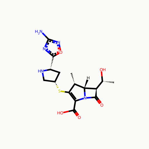 C[C@@H](O)[C@H]1C(=O)N2C(C(=O)O)=C(S[C@@H]3CN[C@H](c4nc(N)no4)C3)[C@H](C)[C@H]12